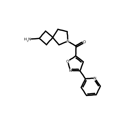 NC1CC2(CCN(C(=O)c3cc(-c4ccccn4)no3)C2)C1